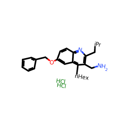 CCCCCCc1c(CN)c(CC(C)C)nc2ccc(OCc3ccccc3)cc12.Cl.Cl